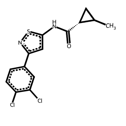 CC1C[C@H]1C(=O)Nc1cc(-c2ccc(Cl)c(Cl)c2)ns1